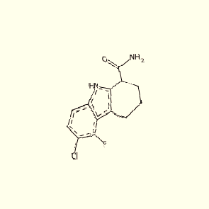 NC(=O)C1CCCc2c1[nH]c1ccc(Cl)c(F)c21